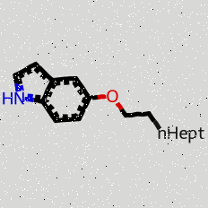 CCCCCCCCCOc1ccc2[nH]ccc2c1